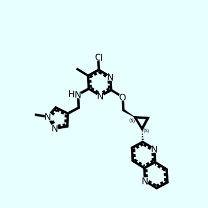 Cc1c(Cl)nc(OC[C@H]2C[C@@H]2c2ccc3ncccc3n2)nc1NCc1cnn(C)c1